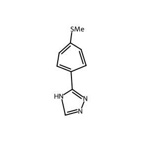 CSc1ccc(-c2nnc[nH]2)cc1